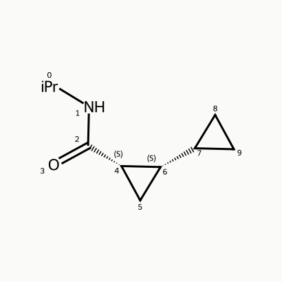 CC(C)NC(=O)[C@H]1C[C@H]1C1CC1